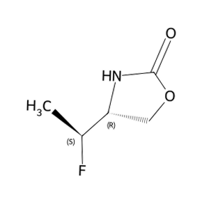 C[C@H](F)[C@H]1COC(=O)N1